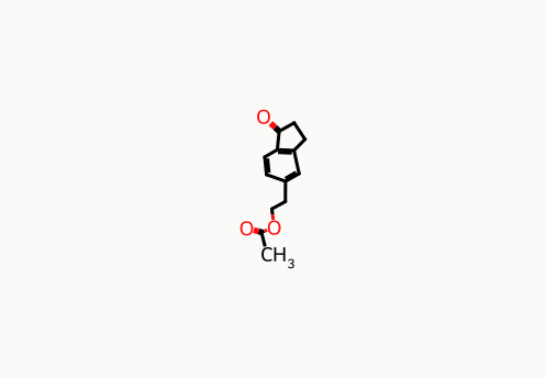 CC(=O)OCCc1ccc2c(c1)CCC2=O